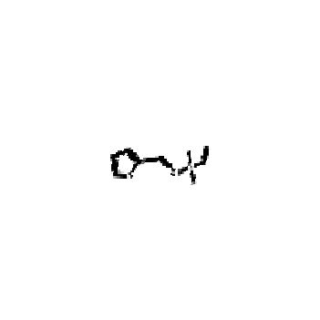 C=C[Si](C)(C)OCc1ccco1